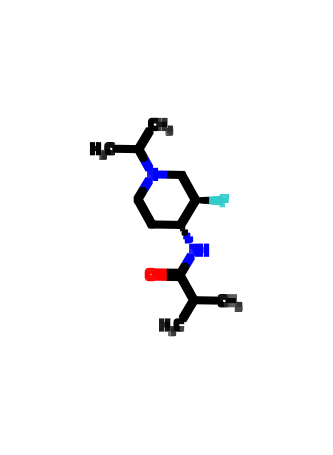 CC(C)C(=O)N[C@@H]1CCN(C(C)C)C[C@H]1F